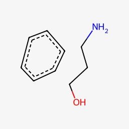 NCCCO.c1ccccc1